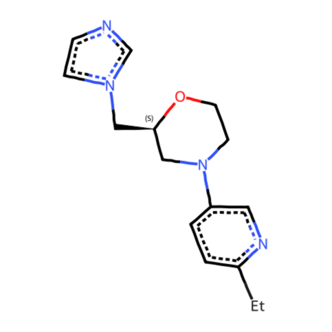 CCc1ccc(N2CCO[C@H](Cn3ccnc3)C2)cn1